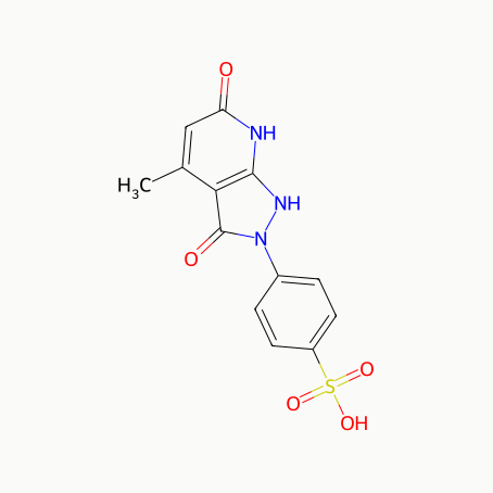 Cc1cc(=O)[nH]c2[nH]n(-c3ccc(S(=O)(=O)O)cc3)c(=O)c12